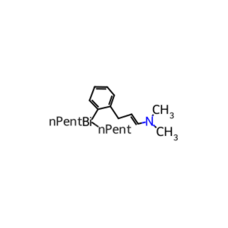 CCCC[CH2][Bi]([CH2]CCCC)[c]1ccccc1CC=CN(C)C